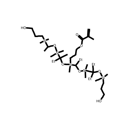 C=C(C)C(=O)OCCC[Si](C)(OC(C)(CC)[Si](C)(C)OC(C)[Si](C)(C)CCCO)C(CC)O[Si](C)(C)C(CC)(CC)O[Si](C)(C)CCCO